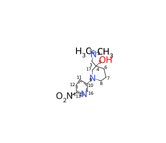 CN(C)CC1(O)CCCN(c2ccc([N+](=O)[O-])nc2)C1